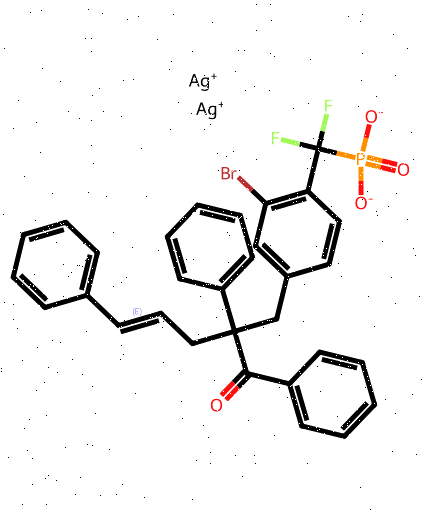 O=C(c1ccccc1)C(C/C=C/c1ccccc1)(Cc1ccc(C(F)(F)P(=O)([O-])[O-])c(Br)c1)c1ccccc1.[Ag+].[Ag+]